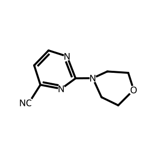 N#Cc1ccnc(N2CCOCC2)n1